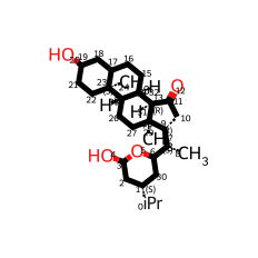 CC(C)[C@@H]1CC(O)OC([C@@H](C)[C@H]2CC(=O)[C@@H]3[C@@H]4CCC5CC(O)CC[C@]5(C)[C@H]4CC[C@]23C)C1